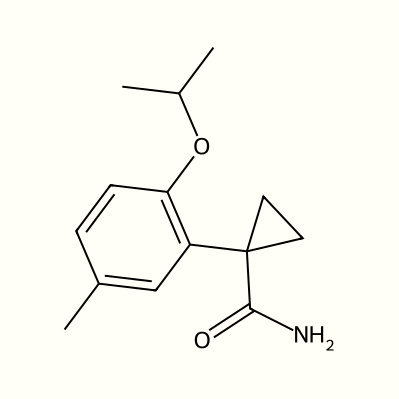 Cc1ccc(OC(C)C)c(C2(C(N)=O)CC2)c1